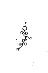 N#CCNC(=O)O[C@H]1CC2(CC2)C[C@@H]1CS(=O)(=O)c1ccc(F)cc1